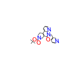 CC(C)(C)OC(=O)N1CCc2c(c(=O)n(Cc3cccnc3)c3ncccc23)C1